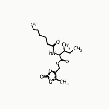 CCC(C)C(NC(=O)CCCCCO)C(=O)OCc1oc(=O)oc1C